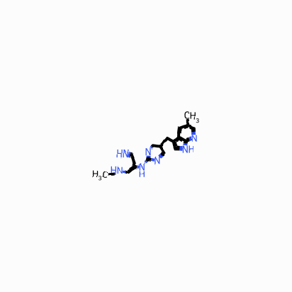 CCN/C=C(\C=N)NC1=NCC(Cc2c[nH]c3ncc(C)cc23)C=N1